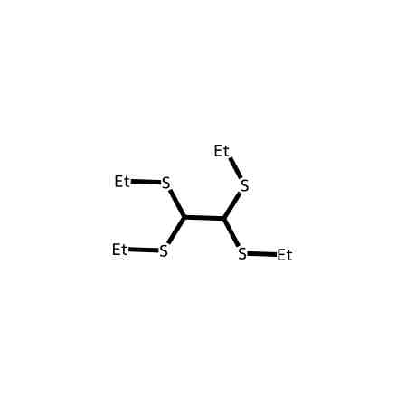 CCSC(SCC)C(SCC)SCC